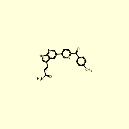 Cc1ccc(C(=O)c2ccc(-c3cnc4[nH]cc(/C=C/C(N)=O)c4c3)cn2)cc1